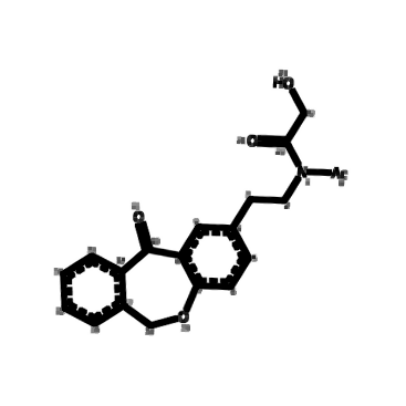 CC(=O)N(CCc1ccc2c(c1)C(=O)c1ccccc1CO2)C(=O)CO